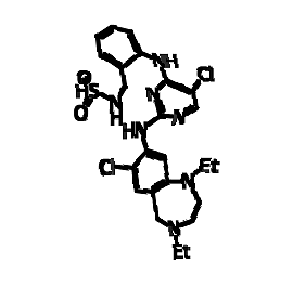 CCN1CCN(CC)c2cc(Nc3ncc(Cl)c(Nc4ccccc4CN[SH](=O)=O)n3)c(Cl)cc2C1